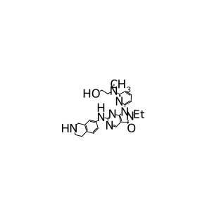 CCn1c(=O)c2cnc(Nc3ccc4c(c3)CNCC4)nc2n1-c1cccc(N(C)CCO)n1